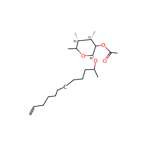 C=CCCCCCCCCC(C)O[C@@H]1OC(C)[C@H](C)[C@H](C)C1OC(C)=O